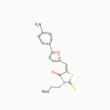 COCCN1C(=O)/C(=C\c2ccc(-c3ccc([N+](=O)[O-])cc3)o2)SC1=S